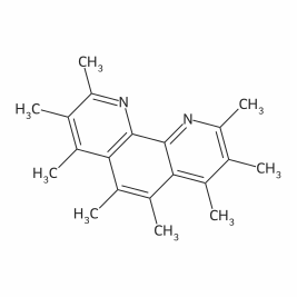 Cc1nc2c(c(C)c1C)c(C)c(C)c1c(C)c(C)c(C)nc12